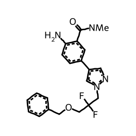 CNC(=O)c1cc(-c2cnn(CC(F)(F)COCc3ccccc3)c2)ccc1N